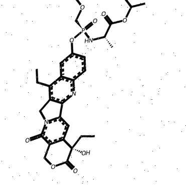 CCc1c2c(nc3ccc(O[P@@](=O)(COC)N[C@@H](C)C(=O)OC(C)C)cc13)-c1cc3c(c(=O)n1C2)COC(=O)[C@]3(O)CC